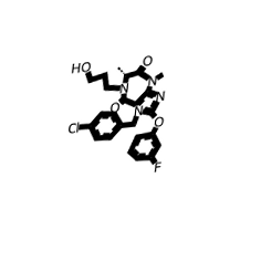 C[C@@H]1C(=O)N(C)c2nc(Oc3cccc(F)c3)n(Cc3ccc(Cl)cc3)c2C(=O)N1CCCO